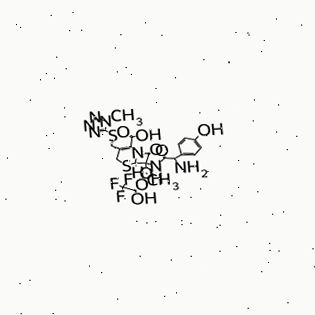 CO[C@@]1(NC(=O)C(N)c2ccc(O)cc2)C(=O)N2C(C(=O)O)=C(CSc3nnnn3C)CS[C@@H]21.O=C(O)C(F)(F)F